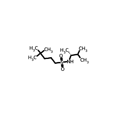 CC(C)[C@@H](C)NS(=O)(=O)CCCC(C)(C)C